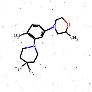 CC1CN(c2ccc([N+](=O)[O-])c(N3CCC(C)(C)CC3)c2)CCO1